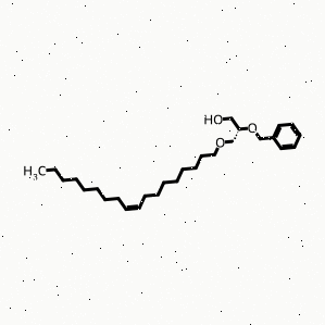 CCCCCCCC/C=C\CCCCCCCCOC[C@H](CO)OCc1ccccc1